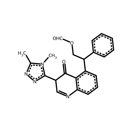 Cc1nnc(C2C=Nc3cccc(C(COC=O)c4ccccc4)c3C2=O)n1C